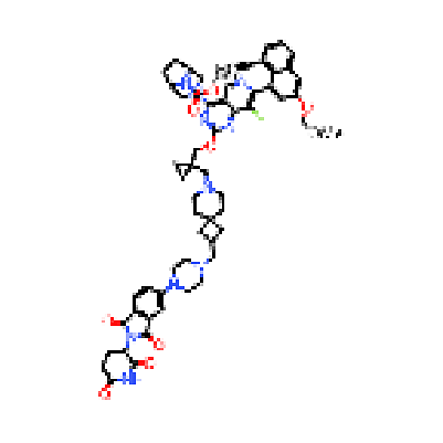 C#Cc1cccc2cc(OCOC)cc(-c3ncc4c(N5CC6CCC(C5)N6C(=O)OC(C)(C)C)nc(OCC5(CN6CCC7(CC6)CC(CN6CCN(c8ccc9c(c8)C(=O)N(C8CCC(=O)NC8=O)C9=O)CC6)C7)CC5)nc4c3F)c12